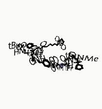 CN[C@H](C(=O)N[C@H](C(=O)N(C)[C@H](/C=C(\C)C(=O)NS(=O)(=O)c1ccc(CNC(=O)[C@H](CCCCNC(=O)OC(C)(C)C)NC(=O)[C@H](Cc2ccccc2)NC(=O)CCCCCN2C(=O)C=CC2=O)cc1)C(C)C)C(C)(C)C)C(C)(C)c1ccccc1